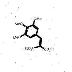 CCOC(=O)C(=Cc1cc(OC)c(OC)c(OC)c1)C(=O)OCC